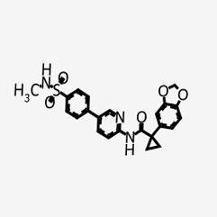 CNS(=O)(=O)c1ccc(-c2ccc(NC(=O)C3(c4ccc5c(c4)OCO5)CC3)nc2)cc1